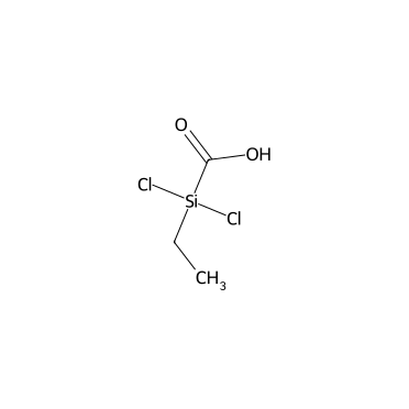 CC[Si](Cl)(Cl)C(=O)O